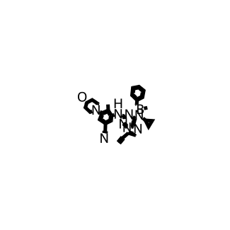 C#Cc1cnc2c(N(B(C)Cc3ccccc3)C3CC3)nc(Nc3cc(C#N)cc(N4CCC(=O)CC4)c3C)nn12